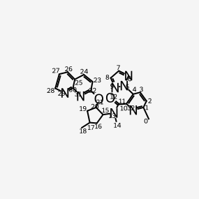 Cc1ccc(-n2nccn2)c(C(=O)N(C)C2CC(C)CC2Oc2ccc3cccnc3n2)n1